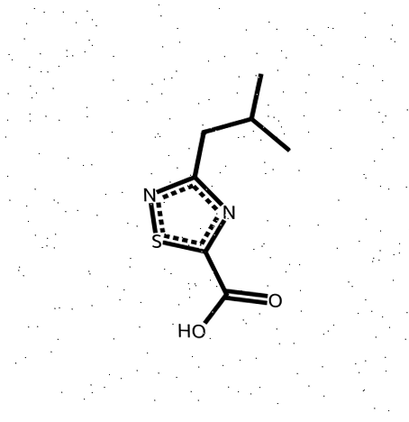 CC(C)Cc1nsc(C(=O)O)n1